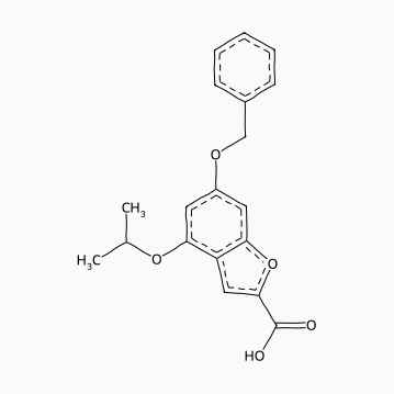 CC(C)Oc1cc(OCc2ccccc2)cc2oc(C(=O)O)cc12